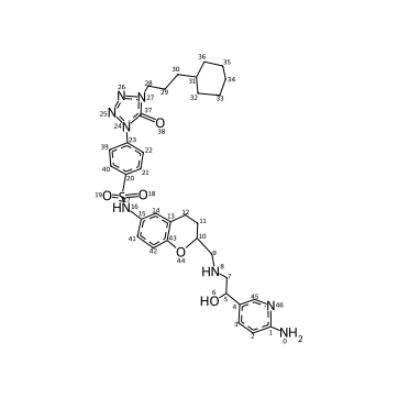 Nc1ccc(C(O)CNCC2CCc3cc(NS(=O)(=O)c4ccc(-n5nnn(CCCC6CCCCC6)c5=O)cc4)ccc3O2)cn1